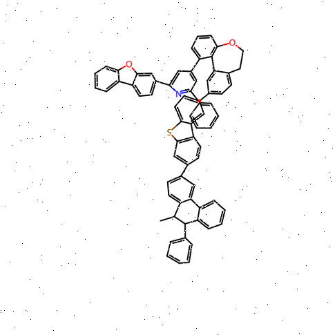 CC1c2ccc(-c3ccc4c(c3)sc3ccc(-c5ccc6c(c5)-c5c(cccc5-c5cc(-c7ccccc7)nc(-c7ccc8c(c7)oc7ccccc78)c5)OCC6)cc34)cc2-c2ccccc2C1c1ccccc1